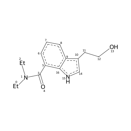 CCN(CC)C(=O)c1cccc2c(CCO)c[nH]c12